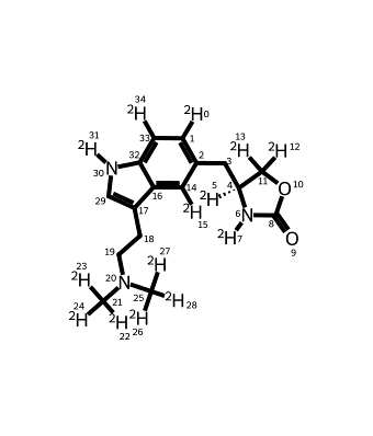 [2H]c1c(C[C@]2([2H])N([2H])C(=O)OC2([2H])[2H])c([2H])c2c(CCN(C([2H])([2H])[2H])C([2H])([2H])[2H])cn([2H])c2c1[2H]